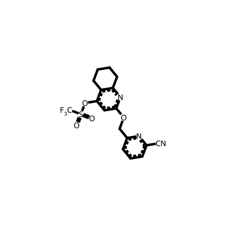 N#Cc1cccc(COc2cc(OS(=O)(=O)C(F)(F)F)c3c(n2)CCCC3)n1